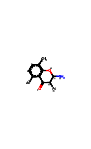 CC(=O)c1ccc(C)c2c1C(=O)C(C(C)=O)C(N)O2